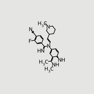 CN/C(C)=C1/C=C(N(/C=C/C2CCCN(C)C2)C(=N)c2ccc(C#N)c(F)c2)C=CC1=N